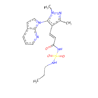 CCCNS(=O)(=O)NC(=O)C=Cc1c(C)nn(C)c1-n1ccc2cccnc21